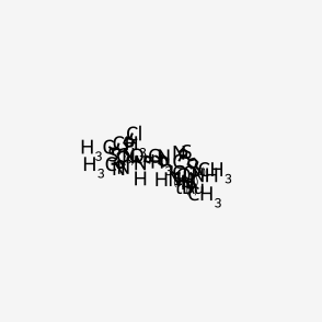 CC1=NN=C2C1c1sc(C)c(C)c1C(c1ccc(Cl)cc1)=N[C@H]2CC(=O)N[C@H]1C[C@H](Oc2ccc(CCC(=O)N[C@H](C(=O)N3C[C@H](C)C[C@H]3C(=O)N[C@@H](C)c3ccc(-c4scnc4C)cc3)C(C)(C)C)cn2)C1